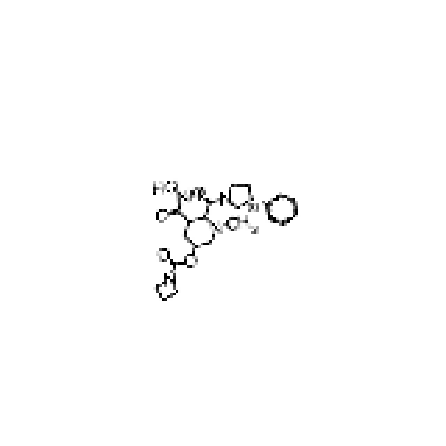 CN1CC(OC(=O)N2CCC2)CC(C(=O)NO)C1C(=O)N1CC[C@H](c2ccccc2)C1